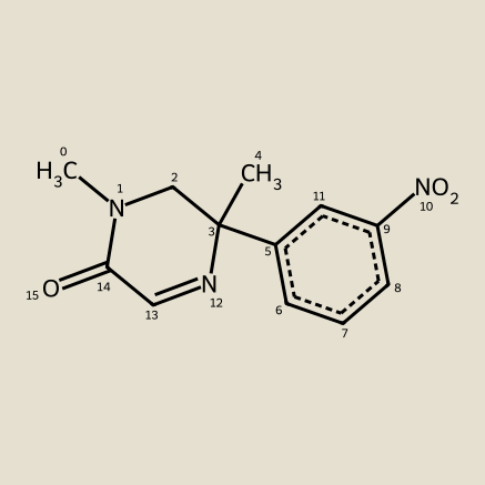 CN1CC(C)(c2cccc([N+](=O)[O-])c2)N=CC1=O